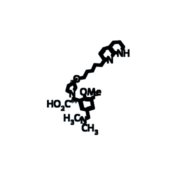 COc1c(F)cc(CN(C)C)cc1[C@H](C(=O)O)N1CC[C@@H](OCCCCCc2ccc3c(n2)NCCC3)C1